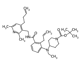 C=CCCc1cc(C)nc(C)c1CNC(=O)c1cccc(N(CC)C2CCN(C(=O)OC(C)(C)C)CC2)c1CC=C